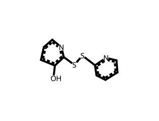 Oc1cccnc1SSc1ccccn1